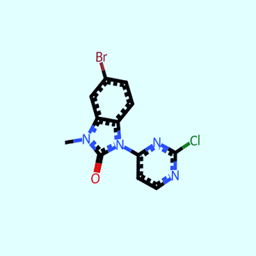 Cn1c(=O)n(-c2ccnc(Cl)n2)c2ccc(Br)cc21